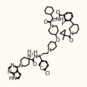 CC1(C(=O)N2CCCC(c3cccc(C(=O)N[C@@H](C(=O)N4CCC(OC5CCN(CC[C@H](NC(=O)C6(N)CCN(c7ncnc8[nH]ccc78)CC6)c6ccc(Cl)cc6)CC5)CC4)C4CCCCC4)c3F)C2)CC1